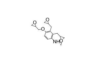 Nc1ccc(OCC2CO2)c(CC2CO2)c1CC1CO1